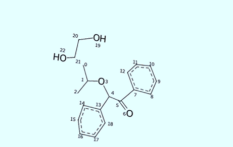 CC(C)OC(C(=O)c1ccccc1)c1ccccc1.OCCO